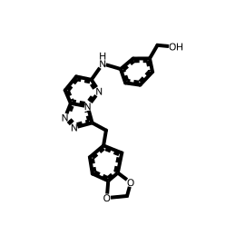 OCc1cccc(Nc2ccc3nnc(Cc4ccc5c(c4)OCO5)n3n2)c1